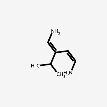 CC(C)C(/C=C\N)=C/N